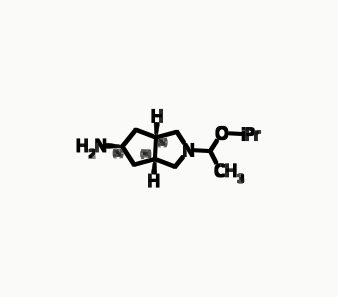 CC(C)OC(C)N1C[C@H]2C[C@H](N)C[C@H]2C1